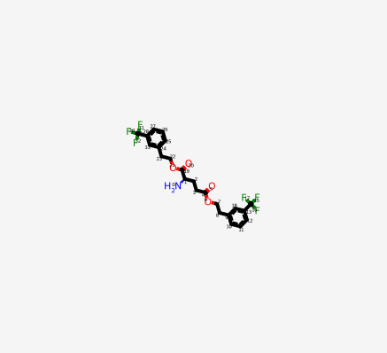 N[C@H](CCC(=O)OCCc1cccc(C(F)(F)F)c1)C(=O)OCCc1cccc(C(F)(F)F)c1